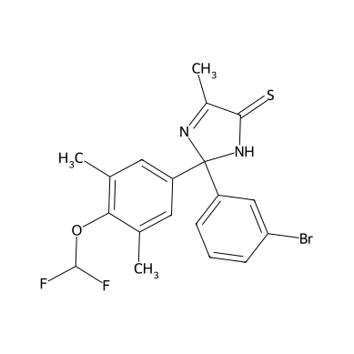 CC1=NC(c2cccc(Br)c2)(c2cc(C)c(OC(F)F)c(C)c2)NC1=S